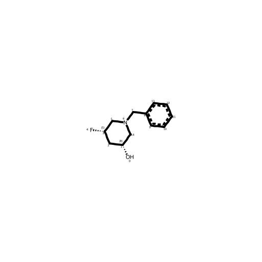 O[C@@H]1C[C@H](F)CN(Cc2ccccc2)C1